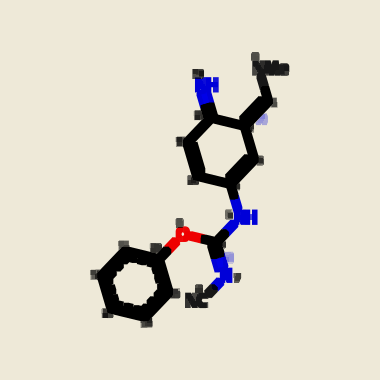 CN/C=C1/C=C(N/C(=N/C#N)Oc2ccccc2)C=CC1=N